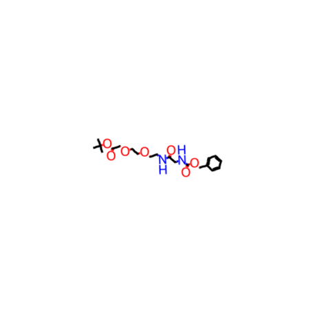 CC(C)(C)OC(=O)COCCOCCNC(=O)CNC(=O)OCc1ccccc1